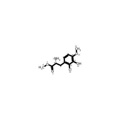 COC(=O)[C@H](N)Cc1ccc(OC)c(O)c1Cl